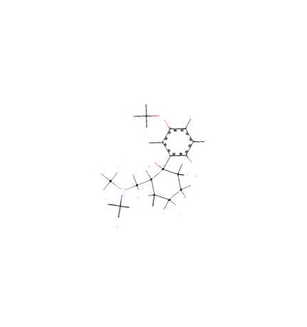 [2H]c1c([2H])c(OC([2H])([2H])[2H])c([2H])c(C2(O)C([2H])([2H])C([2H])([2H])C([2H])([2H])C([2H])([2H])C2([2H])C([2H])([2H])N(C([2H])([2H])[2H])C([2H])([2H])[2H])c1[2H]